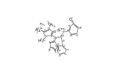 CC1=C(C)C(C)[C]([Zr+2]([C]2=CC=CC2)=[C](Cc2ccccc2)Cc2ccccc2)=C1C.[Cl-].[Cl-]